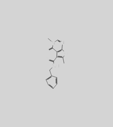 Cc1oc2ncn(C)c(=O)c2c1C(=O)NCc1ccccc1